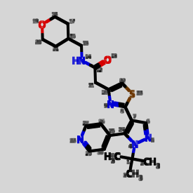 CC(C)(C)n1ncc(-c2nc(CC(=O)NCC3CCOCC3)cs2)c1-c1ccncc1